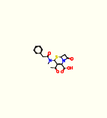 CC(=O)C1=C(C(=O)O)N2C(=O)CC2SC1N(C)C(=O)Cc1ccccc1